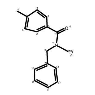 [CH2]c1ccc(C(=O)N(Cc2ccccc2)C(C)C)cc1